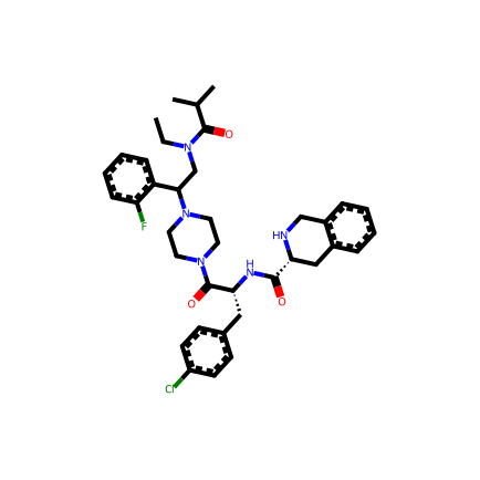 CCN(CC(c1ccccc1F)N1CCN(C(=O)[C@@H](Cc2ccc(Cl)cc2)NC(=O)[C@H]2Cc3ccccc3CN2)CC1)C(=O)C(C)C